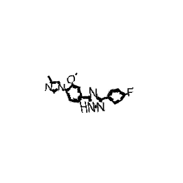 COc1cc(-c2nc(-c3ccc(F)cc3)n[nH]2)ccc1-n1cnc(C)c1